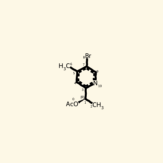 CC(=O)O[C@H](C)c1cc(C)c(Br)cn1